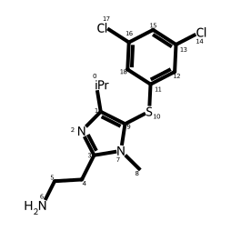 CC(C)c1nc(CCN)n(C)c1Sc1cc(Cl)cc(Cl)c1